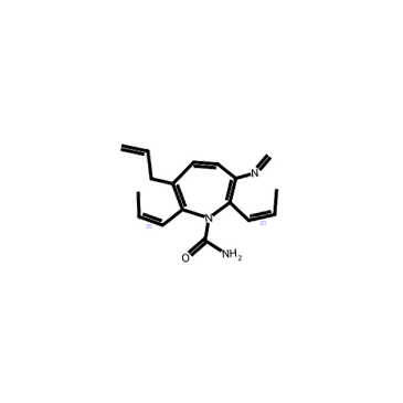 C=CCC1=C(/C=C\C)N(C(N)=O)C(/C=C\C)=C(N=C)C=C1